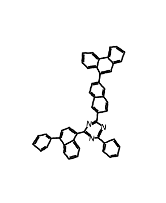 c1ccc(-c2nc(-c3ccc4cc(-c5cc6ccccc6c6ccccc56)ccc4c3)nc(-c3ccc(-c4ccccc4)c4ccccc34)n2)cc1